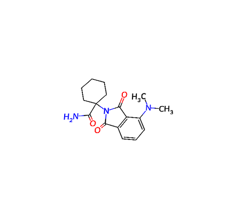 CN(C)c1cccc2c1C(=O)N(C1(C(N)=O)CCCCC1)C2=O